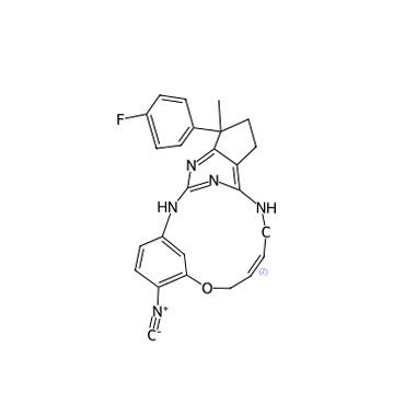 [C-]#[N+]c1ccc2cc1OC/C=C\CNc1nc(nc3c1CCC3(C)c1ccc(F)cc1)N2